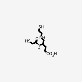 O=C(O)CCC(CNCCS)NC(=O)CS